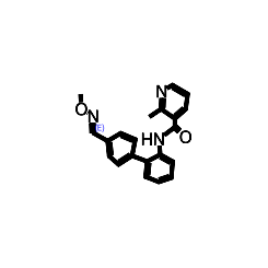 CO/N=C/c1ccc(-c2ccccc2NC(=O)c2cccnc2C)cc1